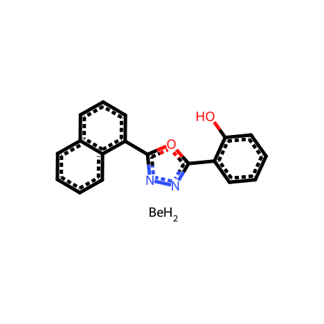 Oc1ccccc1-c1nnc(-c2cccc3ccccc23)o1.[BeH2]